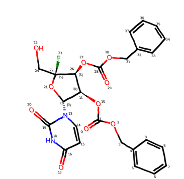 O=C(OCc1ccccc1)O[C@H]1[C@H](n2ccc(=O)[nH]c2=O)O[C@](F)(CO)[C@H]1OC(=O)OCc1ccccc1